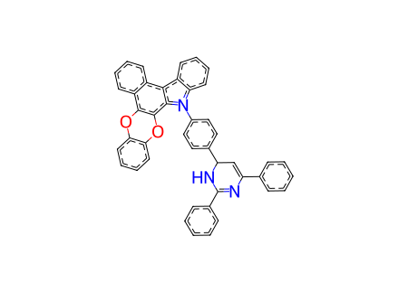 C1=C(c2ccccc2)N=C(c2ccccc2)NC1c1ccc(-n2c3ccccc3c3c4ccccc4c4c(c32)Oc2ccccc2O4)cc1